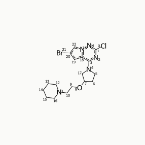 Clc1nc(N2CCC(OCCN3CCCCC3)C2)c2cc(Br)cn2n1